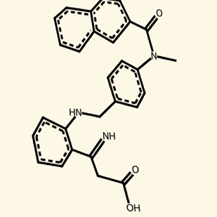 CN(C(=O)c1ccc2ccccc2c1)c1ccc(CNc2ccccc2C(=N)CC(=O)O)cc1